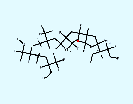 CC(F)(CC(F)(C(F)(F)F)C(F)(F)OC(F)(C(F)(F)CC(F)(CO)C(F)(F)F)C(F)(F)SF)C(F)(CC(F)(F)C(F)(CC(F)(F)[C@](F)(CF)C(C)(F)CF)C(F)(F)F)C(F)(F)F